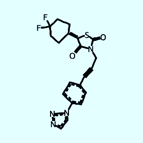 O=C1SC(=C2CCC(F)(F)CC2)C(=O)N1CC#Cc1ccc(-n2ccnn2)cc1